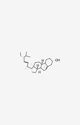 CC[C@@H](C=C[C@@H](C)[C@H]1CC[C@H]2[C@@H]3CC=C4C[C@@H](O)CC[C@]4(C)[C@H]3CC[C@]12C)C(C)C